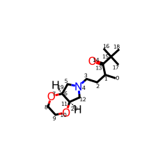 CC(CCN1C[C@@H]2OCCO[C@@H]2C1)C(=O)C(C)(C)C